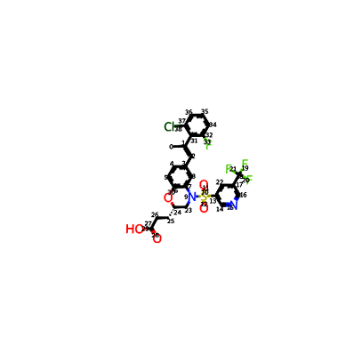 C/C(=C\c1ccc2c(c1)N(S(=O)(=O)c1cncc(C(F)(F)F)c1)C[C@H](CCC(=O)O)O2)c1c(F)cccc1Cl